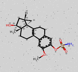 COc1cc2c(cc1OS(N)(=O)=O)CCC1=C2CC[C@]2(C)[C@@H](O)C[C@@H]3C[C@@]132